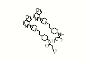 CCC(=O)NC1CCC(CCN2CCN(c3nccc4occc34)CC2)CC1.COCCC(=O)NC1CCC(CCN2CCN(c3nccc4occc34)CC2)CC1